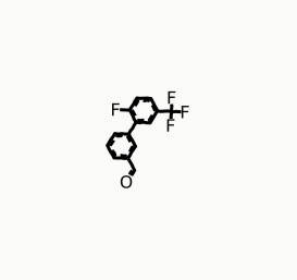 O=Cc1cccc(-c2cc(C(F)(F)F)ccc2F)c1